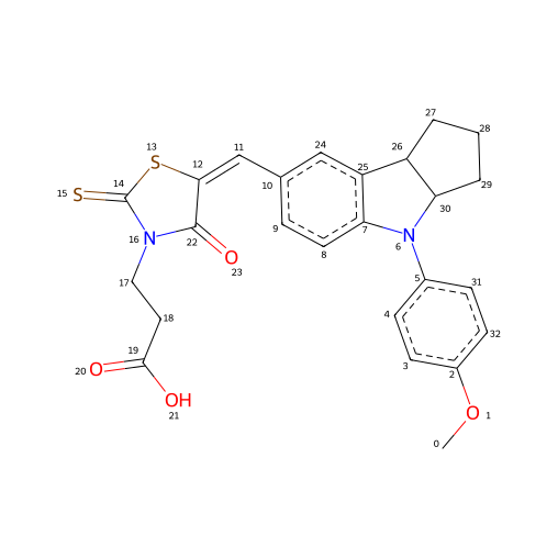 COc1ccc(N2c3ccc(/C=C4/SC(=S)N(CCC(=O)O)C4=O)cc3C3CCCC32)cc1